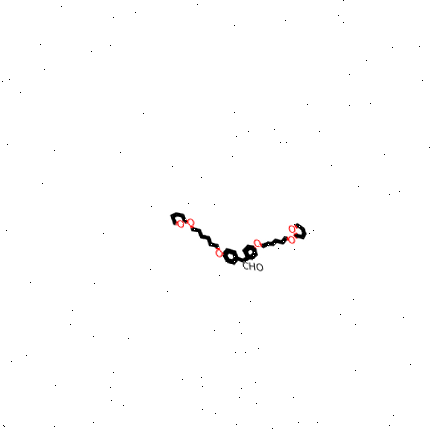 O=CC(c1ccc(OCCCCCCOC2CCCCO2)cc1)c1ccc(OCCCCCCOC2CCCCO2)cc1